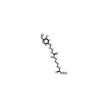 CNC(=O)CCCCCNC(=O)CCCCc1cnc(SCl)c(C)c1